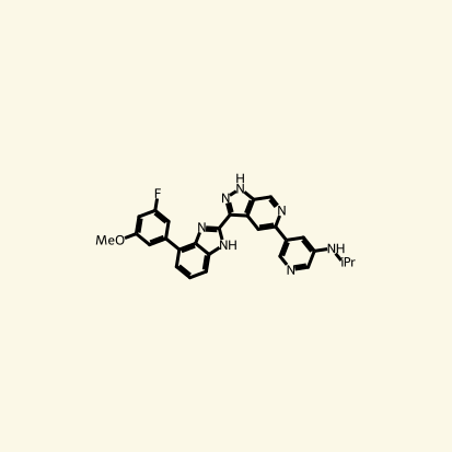 COc1cc(F)cc(-c2cccc3[nH]c(-c4n[nH]c5cnc(-c6cncc(NC(C)C)c6)cc45)nc23)c1